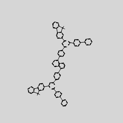 CC1(C)c2ccccc2-c2ccc(-c3cc(-c4ccc(-c5cccc6c(-c7ccc(-c8cc(-c9ccc%10c(c9)C(C)(C)c9ccccc9-%10)nc(-c9ccc(-c%10ccccc%10)cc9)n8)cc7)cccc56)cc4)nc(-c4ccc(-c5ccccc5)cc4)n3)cc21